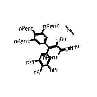 CCCCCC(=C=[N+]=[N-])C(CCCC)=C(c1cc(CCC)c(CCC)c(CCC)c1)c1cc(CCCCC)c(CCCCC)c(CCCCC)c1.[CH3][Ni][CH3]